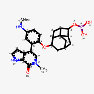 CSNc1ccc(OC23CC4CC5C(OP(O)O)C(C2)C5(C4)C3)c(-c2cn(C)c(=O)c3[nH]ccc23)c1